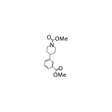 COC(=O)c1cccc(C2CCN(C(=O)OC)CC2)c1